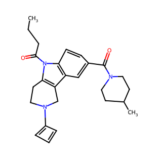 CCCC(=O)n1c2c(c3cc(C(=O)N4CCC(C)CC4)ccc31)CN(C1=CC=C1)CC2